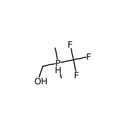 C[PH](C)(CO)C(F)(F)F